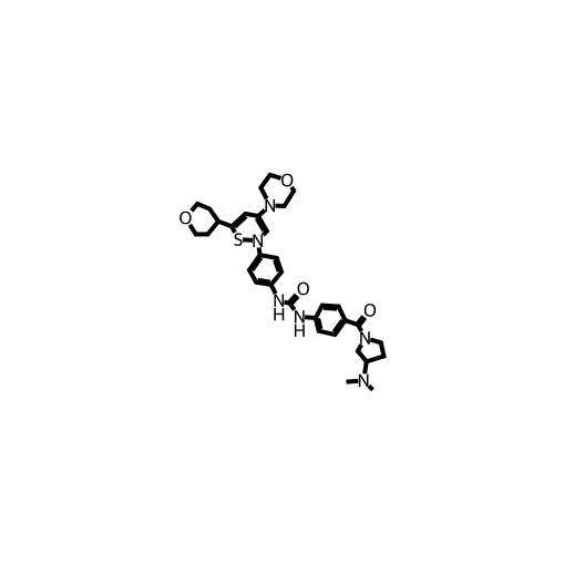 CN(C)C1CCN(C(=O)c2ccc(NC(=O)Nc3ccc(N4C=C(N5CCOCC5)C=C(C5CCOCC5)S4)cc3)cc2)C1